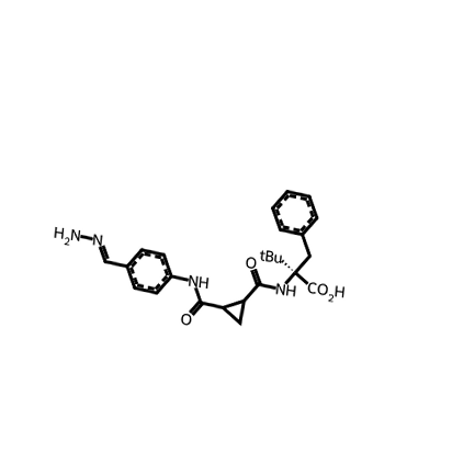 CC(C)(C)[C@@](Cc1ccccc1)(NC(=O)C1CC1C(=O)Nc1ccc(C=NN)cc1)C(=O)O